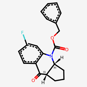 O=C1c2ccc(F)cc2N(C(=O)OCc2ccccc2)[C@@H]2CCC[C@H]12